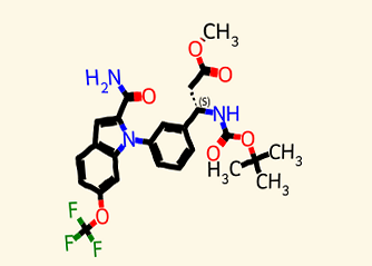 COC(=O)C[C@H](NC(=O)OC(C)(C)C)c1cccc(-n2c(C(N)=O)cc3ccc(OC(F)(F)F)cc32)c1